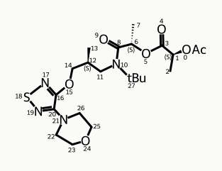 CC(=O)O[C@@H](C)C(=O)O[C@@H](C)C(=O)N(C[C@H](C)COc1nsnc1N1CCOCC1)C(C)(C)C